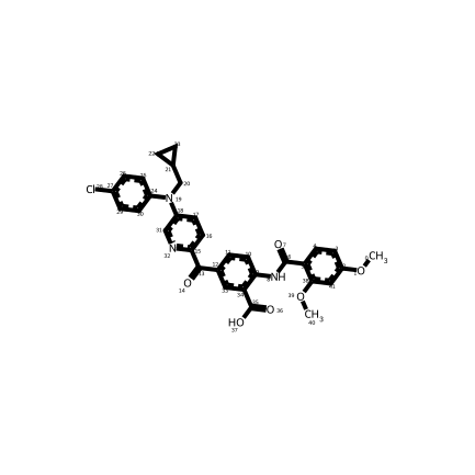 COc1ccc(C(=O)Nc2ccc(C(=O)c3ccc(N(CC4CC4)c4ccc(Cl)cc4)cn3)cc2C(=O)O)c(OC)c1